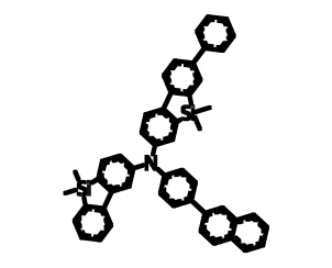 C[Si]1(C)c2ccccc2-c2cc(N(c3ccc(-c4ccc5ccccc5c4)cc3)c3ccc4c(c3)[Si](C)(C)c3cc(-c5ccccc5)ccc3-4)ccc21